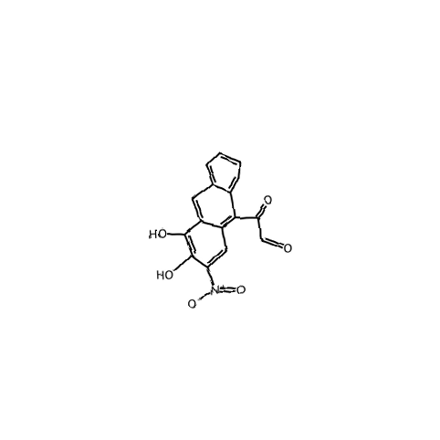 O=CC(=O)c1c2ccccc2cc2c(O)c(O)c([N+](=O)[O-])cc12